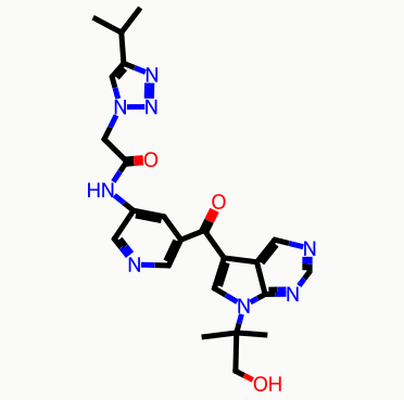 CC(C)c1cn(CC(=O)Nc2cncc(C(=O)c3cn(C(C)(C)CO)c4ncncc34)c2)nn1